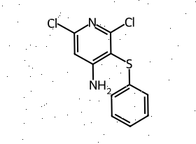 Nc1cc(Cl)nc(Cl)c1Sc1ccccc1